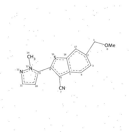 COCc1ccc2c(C#N)c(-c3ccnn3C)sc2c1